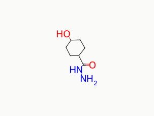 NNC(=O)C1CCC(O)CC1